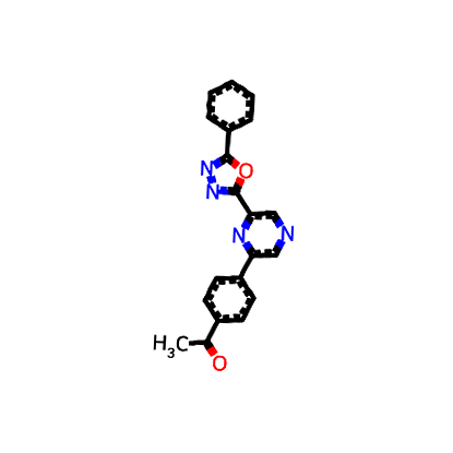 CC(=O)c1ccc(-c2cncc(-c3nnc(-c4ccccc4)o3)n2)cc1